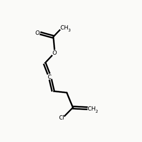 C=C(Cl)CC=C=COC(C)=O